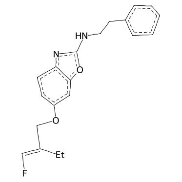 CC/C(=C\F)COc1ccc2nc(NCCc3ccccc3)oc2c1